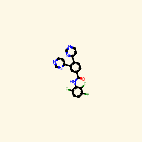 O=C(Nc1c(F)ccc(F)c1F)c1ccc(-c2ccncn2)c(-c2ccncn2)c1